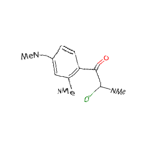 CNc1ccc(C(=O)C(Cl)NC)c(NC)c1